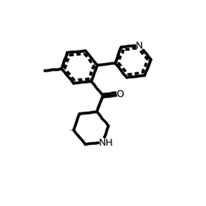 Cc1ccc(-c2cccnc2)c(C(=O)C2C[CH]CNC2)c1